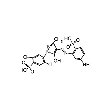 Cc1nn(-c2cc(Cl)c(S(=O)(=O)O)cc2Cl)c(O)c1N=Nc1cc([NH])ccc1S(=O)(=O)O